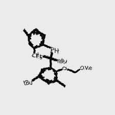 CCCCC(CC)(Pc1ccc(C)cc1C(F)(F)F)c1cc(C(C)(C)C)cc(C)c1OCOC